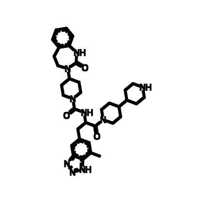 Cc1cc(CC(NC(=O)N2CCC(N3CCc4ccccc4NC3=O)CC2)C(=O)N2CCC(C3CCNCC3)CC2)cc2nn[nH]c12